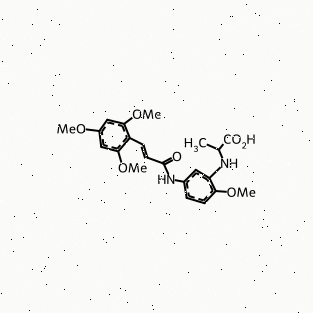 COc1cc(OC)c(/C=C/C(=O)Nc2ccc(OC)c(NC(C)C(=O)O)c2)c(OC)c1